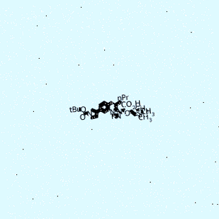 CCC[C@H](C(=O)O)[C@H](Cc1ccc(C2CCN(C(=O)OC(C)(C)C)C2)cc1)c1nnnn1COCC[Si](C)(C)C